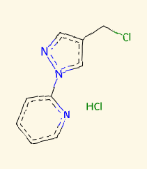 Cl.ClCc1cnn(-c2ccccn2)c1